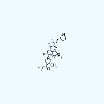 COc1c(N2CCN(C(C)=O)C(C)C2)c(F)cc2c(=O)c(C(=O)C=Cc3cccnc3)cn(C3CC3)c12